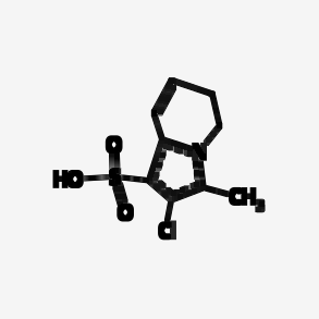 Cc1c(Cl)c(S(=O)(=O)O)c2n1CCC=C2